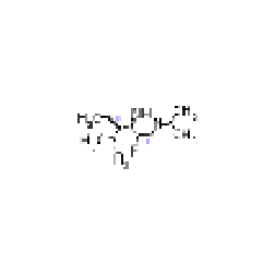 C/C=C(/C(=N)/C(F)=C\N=C(C)C)C(C)C